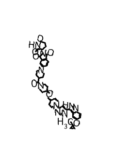 CC1(Oc2ccc3n[nH]c(-c4cc(N5CCC(COC6CCN(C(=O)C7CCN(c8ccc9c(c8)C(=O)N(C8CCC(=O)NC8=O)C9=O)CC7)CC6)CC5)ncn4)c3c2)CC1